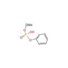 COOP(=O)(O)Oc1ccccc1